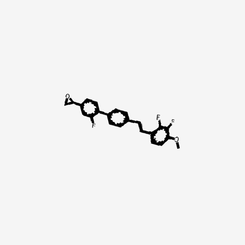 COc1ccc(CCc2ccc(-c3ccc(C4CO4)cc3F)cc2)c(F)c1F